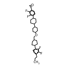 CCCc1ccc(C2CCC(COC3CCC(C4CCC(c5ccc(C6CO6)c(F)c5F)CC4)CC3)CC2)c(F)c1F